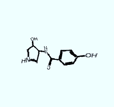 O=C(NC1CNCC1O)c1ccc(O)cc1